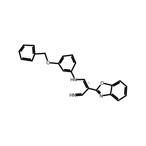 N=C/C(=C\Nc1cccc(OCc2ccccc2)c1)c1nc2ccccc2o1